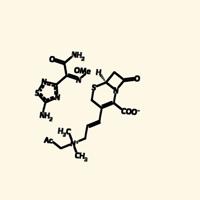 CC(=O)C[N+](C)(C)C/C=C/C1=C(C(=O)[O-])N2C(=O)C[C@@H]2SC1.CO/N=C(\C(N)=O)c1nsc(N)n1